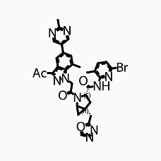 CC(=O)c1nn(CC(=O)N2C3C[C@]3(Cc3nnco3)C[C@H]2C(=O)Nc2nc(Br)ccc2C)c2c(C)cc(-c3cnc(C)nc3)cc12